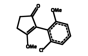 COC1=C(c2c(Cl)cccc2OC)C(=O)CC1